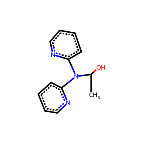 CC(O)N(c1ccccn1)c1ccccn1